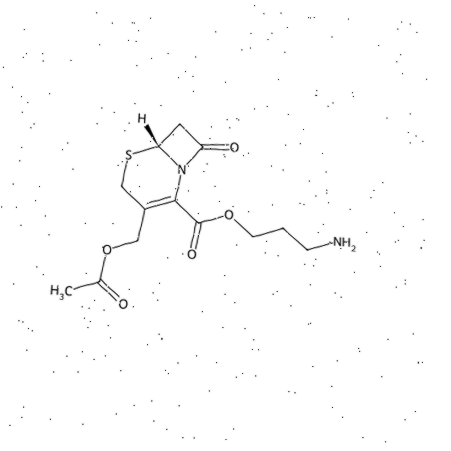 CC(=O)OCC1=C(C(=O)OCCCN)N2C(=O)C[C@H]2SC1